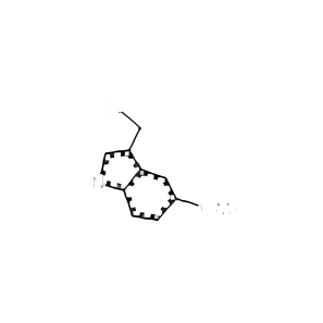 COc1ccc2[nH]cc(CCl)c2c1